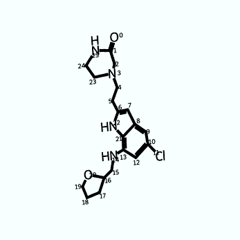 O=C1CN(CCc2cc3cc(Cl)cc(NCC4CCCO4)c3[nH]2)CCN1